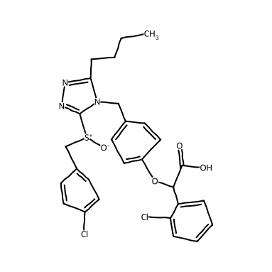 CCCCc1nnc([S+]([O-])Cc2ccc(Cl)cc2)n1Cc1ccc(OC(C(=O)O)c2ccccc2Cl)cc1